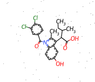 CCC(C)C(C(=O)O)c1c(C)n(C(=O)c2ccc(Cl)c(Cl)c2)c2ccc(O)cc12